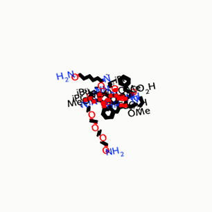 CC[C@H](CCC(C)[C@H](NC(=O)[C@H](C(C)C)N(C)CCOCCOCCOCCON)C(=O)N(C)[C@@H]([C@@H](C)CC)[C@@H](CC(=O)N1CCC[C@H]1[C@H](OC)[C@@H](C)C(=O)N[C@@H](Cc1ccccc1)C(=O)O)OC)[C@@H]([C@@H](CC(=O)N1CCC[C@H]1[C@H](OC)[C@@H](C)C(=O)N[C@@H](Cc1ccccc1)C(=O)O)OC)N(C)C(=O)[C@@H](NC(=O)[C@H](C(C)C)N(C)C(=O)CCCCCON)C(C)C